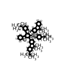 CC(C)(C)c1ccc(Nc2cc3c(cc2-c2c4c5c(c6cc(C(C)(C)C)ccc6n5-c5cc6c(cc5B4)C(C)(C)c4ccccc4-6)c4c2oc2ccccc24)-c2ccc(C(C)(C)C)cc2C3(C)C)cc1